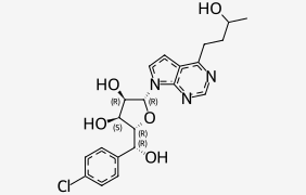 CC(O)CCc1ncnc2c1ccn2[C@@H]1O[C@H]([C@H](O)c2ccc(Cl)cc2)[C@@H](O)[C@H]1O